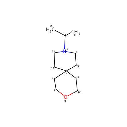 CC(C)N1CCC2(CCOCC2)CC1